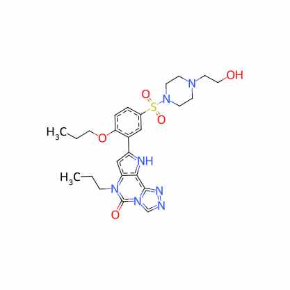 CCCOc1ccc(S(=O)(=O)N2CCN(CCO)CC2)cc1-c1cc2c([nH]1)c1nncn1c(=O)n2CCC